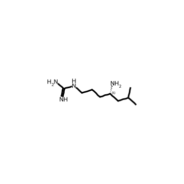 CC(C)C[C@@H](N)CCCNC(=N)N